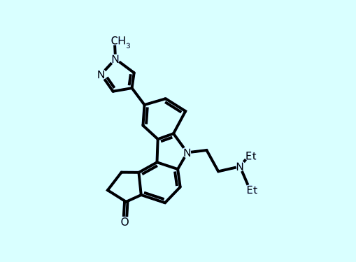 CCN(CC)CCn1c2ccc(-c3cnn(C)c3)cc2c2c3c(ccc21)C(=O)CC3